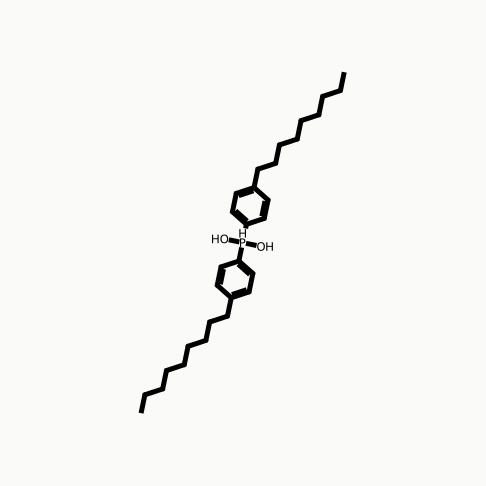 CCCCCCCCCc1ccc([PH](O)(O)c2ccc(CCCCCCCCC)cc2)cc1